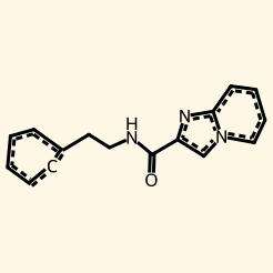 O=C(NCCc1ccccc1)c1cn2ccccc2n1